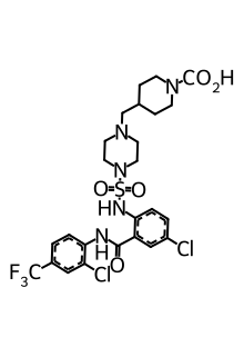 O=C(Nc1ccc(C(F)(F)F)cc1Cl)c1cc(Cl)ccc1NS(=O)(=O)N1CCN(CC2CCN(C(=O)O)CC2)CC1